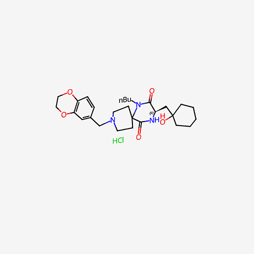 CCCCN1C(=O)[C@@H](CC2(O)CCCCC2)NC(=O)C12CCN(Cc1ccc3c(c1)OCCO3)CC2.Cl